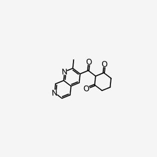 Cc1nc2cnccc2cc1C(=O)C1C(=O)CCCC1=O